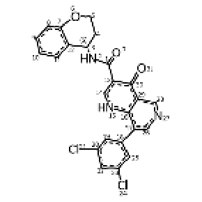 O=C(N[C@H]1CCOc2ccccc21)c1c[nH]c2c(-c3cc(Cl)cc(Cl)c3)cncc2c1=O